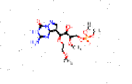 COCCOC(c1cnn2c(=O)[nH]c(N)nc12)C(O)C(COP(=O)(OC)OC)OC